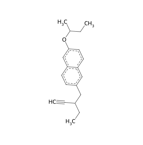 C#CC(CC)Cc1ccc2cc(OC(C)CC)ccc2c1